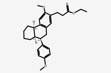 CCOC(=O)CCc1cc2c(cc1OC)[C@@H]1CCCC[C@@H]1[C@H](c1ccc(OC)cc1)C2